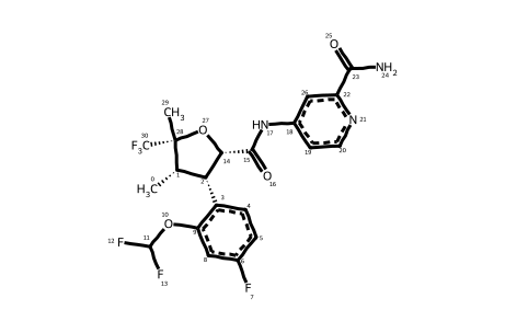 C[C@H]1[C@@H](c2ccc(F)cc2OC(F)F)[C@@H](C(=O)Nc2ccnc(C(N)=O)c2)O[C@@]1(C)C(F)(F)F